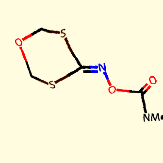 CNC(=O)ON=C1SCOCS1